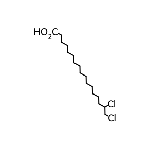 O=C(O)CCCCCCCCCCCCCCC(Cl)CCl